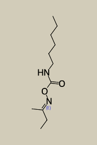 CCCCCCNC(=O)O/N=C(\C)CC